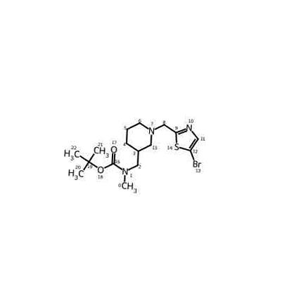 CN(CC1CCCN(Cc2ncc(Br)s2)C1)C(=O)OC(C)(C)C